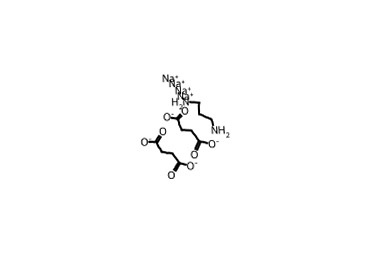 NCCCN.O=C([O-])CCC(=O)[O-].O=C([O-])CCC(=O)[O-].[Na+].[Na+].[Na+].[Na+]